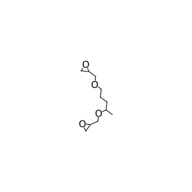 CC(CCCOCC1CO1)OCC1CO1